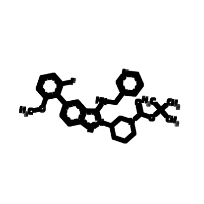 COc1cccc(F)c1-c1ccc2nn(C3CCCN(C(=O)OC(C)(C)C)C3)c(NCc3cccnc3)c2c1